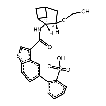 O=C(N[C@@H]1C2CC(C2)C[C@@H]1CCO)c1csc2ccc(-c3ccccc3S(=O)(=O)O)cc12